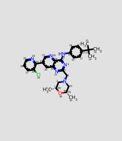 C[C@@H]1CN(Cc2nc(Nc3ccc(C(C)(C)C)cc3)c3ncc(-c4ncccc4Cl)cc3n2)C[C@H](C)O1